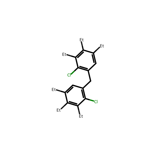 CCc1cc(Cc2cc(CC)c(CC)c(CC)c2Cl)c(Cl)c(CC)c1CC